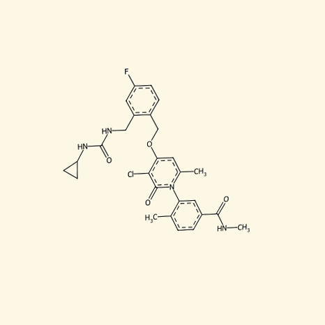 CNC(=O)c1ccc(C)c(-n2c(C)cc(OCc3ccc(F)cc3CNC(=O)NC3CC3)c(Cl)c2=O)c1